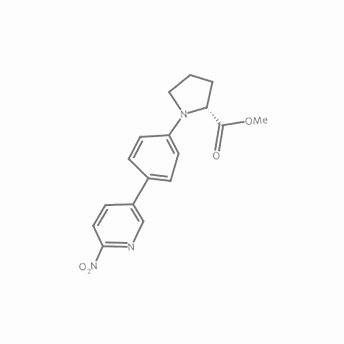 COC(=O)[C@H]1CCCN1c1ccc(-c2ccc([N+](=O)[O-])nc2)cc1